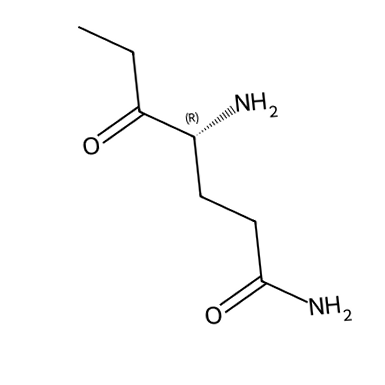 CCC(=O)[C@H](N)CCC(N)=O